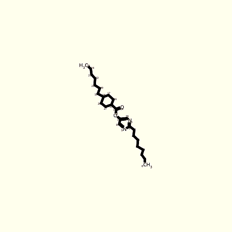 CCCCCCCCc1ncc(OC(=O)C2CCC(CCCCCCC)CC2)cn1